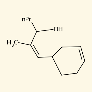 CCCC(O)C(C)=CC1CC=CCC1